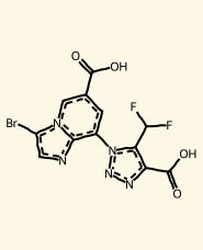 O=C(O)c1cc(-n2nnc(C(=O)O)c2C(F)F)c2ncc(Br)n2c1